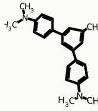 Cc1cc(-c2ccc(N(C)C)cc2)cc(-c2ccc(N(C)C)cc2)c1